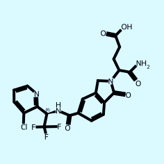 NC(=O)C(CCC(=O)O)N1Cc2cc(C(=O)N[C@H](c3ncccc3Cl)C(F)(F)F)ccc2C1=O